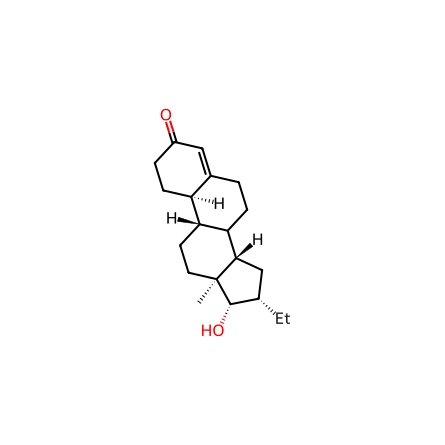 CC[C@H]1C[C@H]2C3CCC4=CC(=O)CC[C@@H]4[C@H]3CC[C@]2(C)[C@H]1O